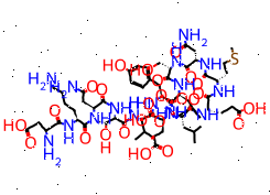 CSCC[C@H](NC(=O)[C@H](CCC(=O)O)NC(=O)[C@H](CC(C)C)NC(=O)[C@H](Cc1ccc(O)cc1)NC(=O)[C@@H](NC(=O)[C@@H](NC(=O)[C@H](CC(N)=O)NC(=O)[C@H](CCCCN)NC(=O)[C@@H](N)CC(=O)O)[C@@H](C)O)C(C)C)C(=O)N[C@@H](CC(N)=O)C(=O)N[C@@H](CO)C(=O)N[C@@H](CC(C)C)C(=O)N[C@@H](CCC(=O)O)C(=O)O